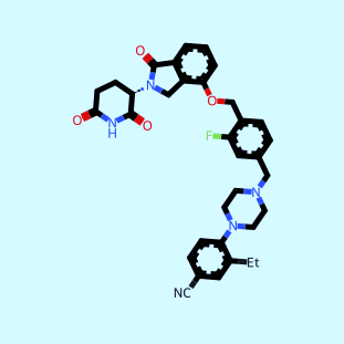 CCc1cc(C#N)ccc1N1CCN(Cc2ccc(COc3cccc4c3CN([C@H]3CCC(=O)NC3=O)C4=O)c(F)c2)CC1